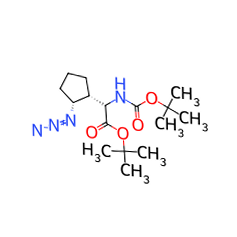 CC(C)(C)OC(=O)NC(C(=O)OC(C)(C)C)[C@H]1CCC[C@H]1N=[N+]=[N-]